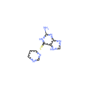 Nc1nc2nc[nH]c2c(=S)[nH]1.c1cncnc1